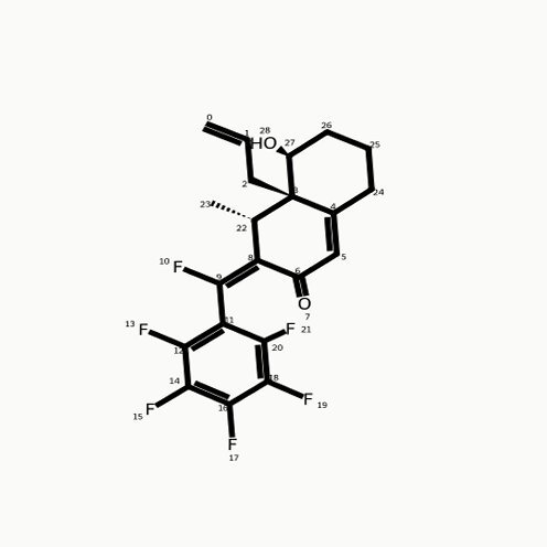 C=CC[C@@]12C(=CC(=O)C(=C(F)c3c(F)c(F)c(F)c(F)c3F)[C@@H]1C)CCC[C@@H]2O